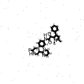 Cc1cc(-c2ccccc2)c(C(=O)C(=O)Nc2ccc(N3CC(F)NCC3c3ncccn3)cc2)n1C